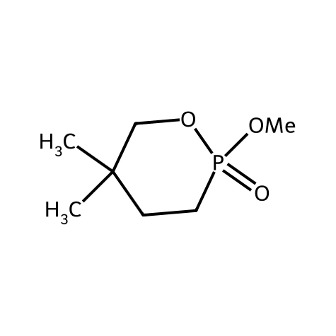 COP1(=O)CCC(C)(C)CO1